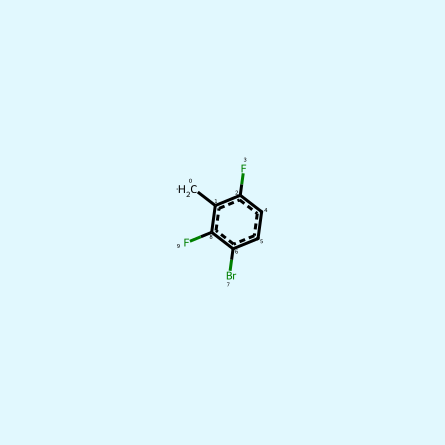 [CH2]c1c(F)ccc(Br)c1F